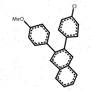 COc1ccc(-c2[c]c3ccccc3cc2-c2ccc(Cl)cc2)cc1